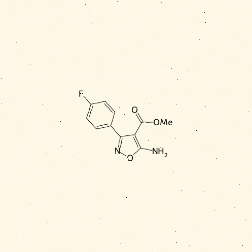 COC(=O)c1c(-c2ccc(F)cc2)noc1N